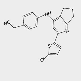 N#CCc1ccc(Nc2cc(-c3ccc(Cl)s3)nc3c2CCC3)cc1